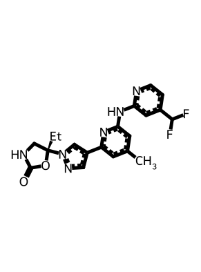 CC[C@]1(n2cc(-c3cc(C)cc(Nc4cc(C(F)F)ccn4)n3)cn2)CNC(=O)O1